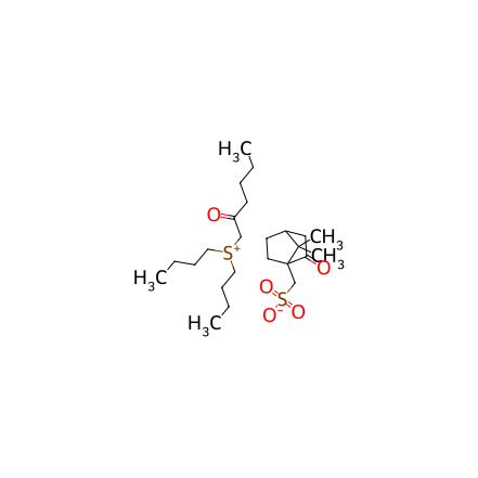 CC1(C)C2CCC1(CS(=O)(=O)[O-])C(=O)C2.CCCCC(=O)C[S+](CCCC)CCCC